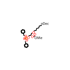 CCCCCCCCCCCCCCCCOCC(COP(=O)(OCc1ccccc1)OCc1ccccc1)OC(=O)OC